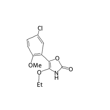 CCOc1[nH]c(=O)oc1-c1cc(Cl)ccc1OC